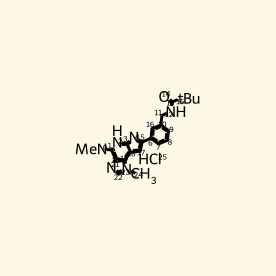 CNc1[nH]c2nc(-c3cccc(CNC(=O)C(C)(C)C)c3)cc-2c2c1ncn2C.Cl